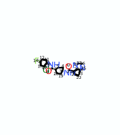 O=C(N[C@H]1CC[C@H](C(=O)Nc2ccc(F)cc2Cl)CC1)c1cccc2nccnc12